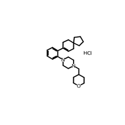 C1=C(c2ccccc2N2CCN(CC3CCOCC3)CC2)CCC2(C1)CCCC2.Cl